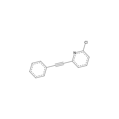 Clc1cccc(C#Cc2ccccc2)n1